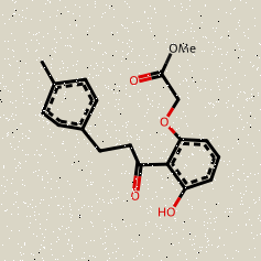 COC(=O)COc1cccc(O)c1C(=O)CCc1ccc(C)cc1